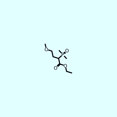 CCOC(=O)C(CCOC)P(C)(C)=O